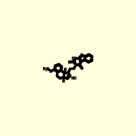 COc1cccc2c1CC[C@H]1CNC(CCn3c(=O)[nH]c4sc5ccccc5c4c3=O)[C@@H]21.Cl